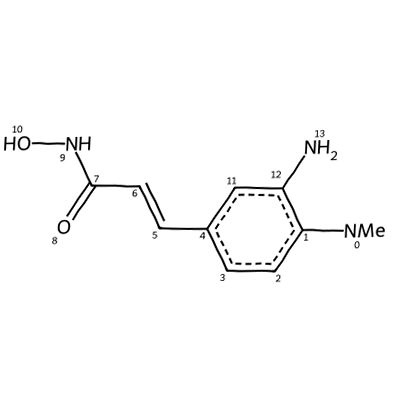 CNc1ccc(/C=C/C(=O)NO)cc1N